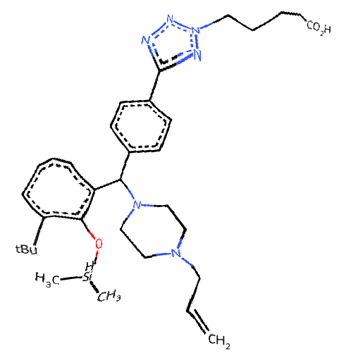 C=CCN1CCN(C(c2ccc(-c3nnn(CCCC(=O)O)n3)cc2)c2cccc(C(C)(C)C)c2O[SiH](C)C)CC1